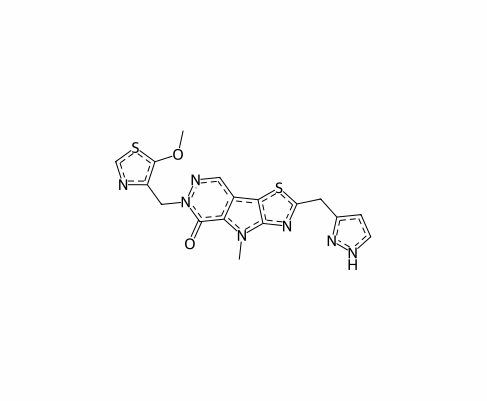 COc1scnc1Cn1ncc2c3sc(Cc4cc[nH]n4)nc3n(C)c2c1=O